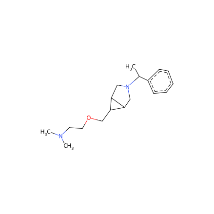 CC(c1ccccc1)N1CC2C(COCCN(C)C)C2C1